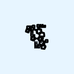 COc1cc2c(cc1C(=O)NC1(C#N)CCC1)-c1c(-c3cccs3)cc(C(=O)N3CCC[C@]3(C)C#N)n1CC2